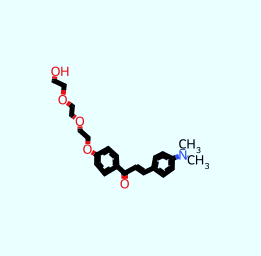 CN(C)c1ccc(/C=C/C(=O)c2ccc(OCCOCCOCCO)cc2)cc1